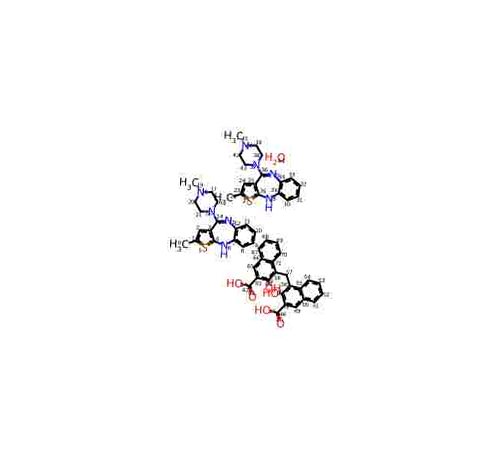 Cc1cc2c(s1)Nc1ccccc1N=C2N1CCN(C)CC1.Cc1cc2c(s1)Nc1ccccc1N=C2N1CCN(C)CC1.O.O=C(O)c1cc2ccccc2c(Cc2c(O)c(C(=O)O)cc3ccccc23)c1O